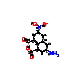 Nc1cc2c3c(cc([N+](=O)[O-])cc3c1)C(=O)OC2=O